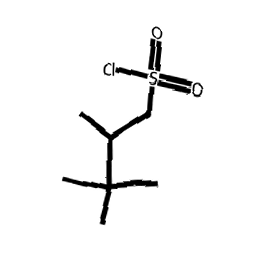 CC(CS(=O)(=O)Cl)C(C)(C)C